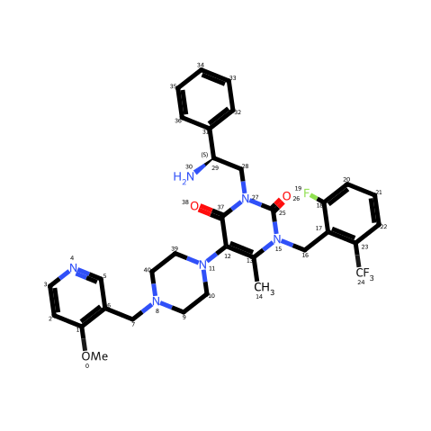 COc1ccncc1CN1CCN(c2c(C)n(Cc3c(F)cccc3C(F)(F)F)c(=O)n(C[C@@H](N)c3ccccc3)c2=O)CC1